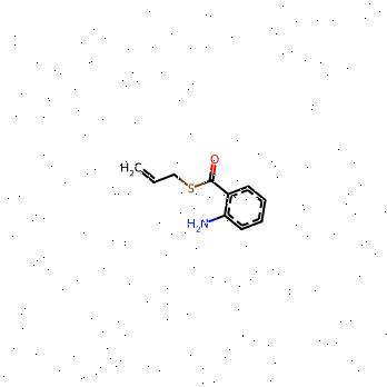 C=CCSC(=O)c1ccccc1N